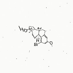 COc1cc(Br)c2c(c1)CC[C@@H]1[C@@H]2CC[C@]2(C)[C@@H](O)CC[C@@H]12